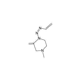 C=C/N=N\N1CCN(C)CC1=C